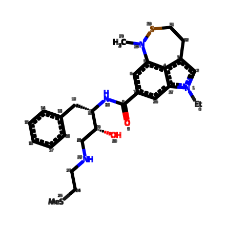 CCn1cc2c3c(cc(C(=O)N[C@@H](Cc4ccccc4)[C@H](O)CNCCSC)cc31)N(C)SCC2